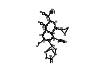 N#Cc1c(N2CC3CC2CN3)c(F)cc2c(=O)c(C(=O)O)cn(C3CC3)c12